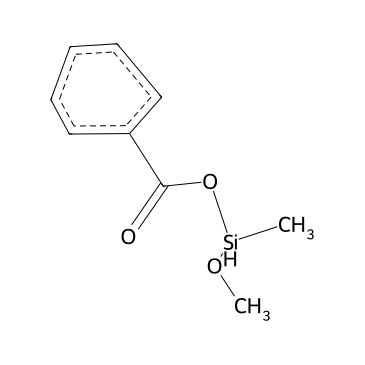 CO[SiH](C)OC(=O)c1ccccc1